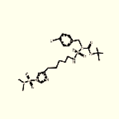 CN(C)S(=O)(=O)n1cnc(CCCCCNS(=O)(=O)N(Cc2ccc(Cl)cc2)C(=O)OC(C)(C)C)c1